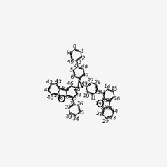 c1ccc(-c2ccc(N(c3ccc(-c4cccc5c4oc4ccccc45)cc3)c3cc(-c4ccccc4)c4oc5ccccc5c4c3)cc2)cc1